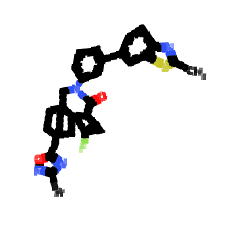 Cc1nc2ccc(-c3cccc(N(CC45CCC(c6nc(C(C)C)no6)(CC4)CC5)C(=O)C45CC(F)(C4)C5)c3)cc2s1